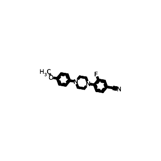 COc1ccc(N2CCN(c3ccc(C#N)cc3F)CC2)cc1